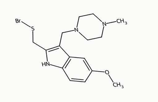 COc1ccc2[nH]c(CSBr)c(CN3CCN(C)CC3)c2c1